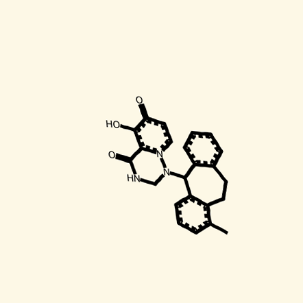 Cc1cccc2c1CCc1ccccc1C2N1CNC(=O)c2c(O)c(=O)ccn21